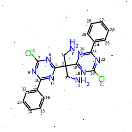 NCC(CN)(c1nc(Cl)nc(-c2ccccc2)n1)c1nc(Cl)nc(-c2ccccc2)n1